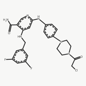 NC(=O)c1cnc(Nc2ccc(N3CCN(C(=O)CCl)CC3)cc2)cc1NCc1cc(F)cc(F)c1